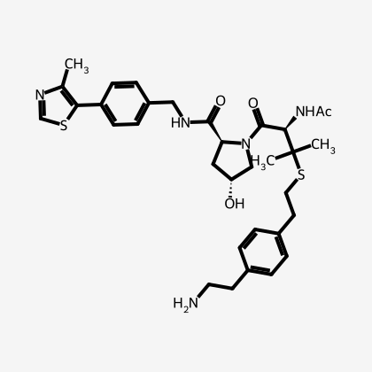 CC(=O)N[C@H](C(=O)N1C[C@H](O)C[C@H]1C(=O)NCc1ccc(-c2scnc2C)cc1)C(C)(C)SCCc1ccc(CCN)cc1